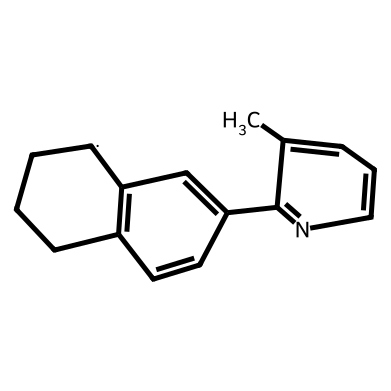 Cc1cccnc1-c1ccc2c(c1)[CH]CCC2